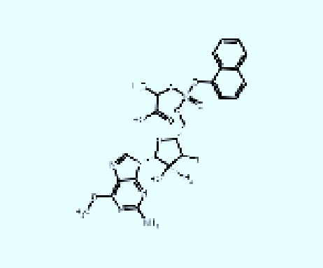 COc1nc(N)nc2c1ncn2[C@@H]1O[C@H](COP(=O)(NC(C)C(=O)O)Oc2cccc3ccccc23)[C@@H](F)[C@@]1(C)O